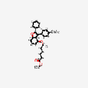 COc1ccc(-c2c(-c3ccccc3)oc3cccc(O[C@H](C)CCCCC(=O)OC(C)(C)C)c23)cc1